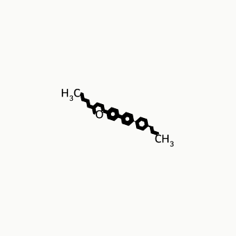 CCCCCC1CCC(c2ccc(-c3ccc([C@H]4CC[C@H](CCCC)CC4)cc3)cc2)OC1